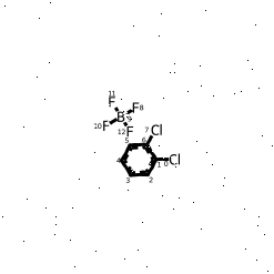 Clc1ccccc1Cl.F[B-](F)(F)F